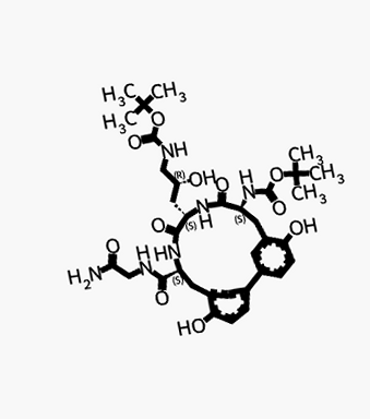 CC(C)(C)OC(=O)NC[C@H](O)C[C@@H]1NC(=O)[C@@H](NC(=O)OC(C)(C)C)Cc2cc(ccc2O)-c2ccc(O)c(c2)C[C@@H](C(=O)NCC(N)=O)NC1=O